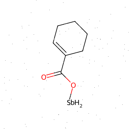 O=C([O][SbH2])C1=CCCCC1